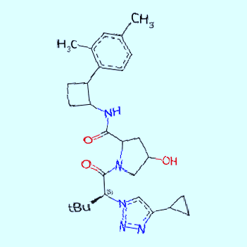 Cc1ccc(C2CCC2NC(=O)C2CC(O)CN2C(=O)[C@@H](n2cc(C3CC3)nn2)C(C)(C)C)c(C)c1